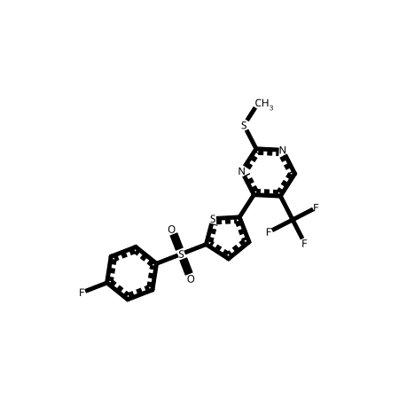 CSc1ncc(C(F)(F)F)c(-c2ccc(S(=O)(=O)c3ccc(F)cc3)s2)n1